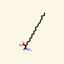 CCCCCCCCCCCCCCCCCCC(C(=O)OC)=C(C)N